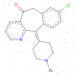 CC(=O)N1CCC(=C2c3ccc(Cl)cc3CC(=O)c3cccnc32)CC1